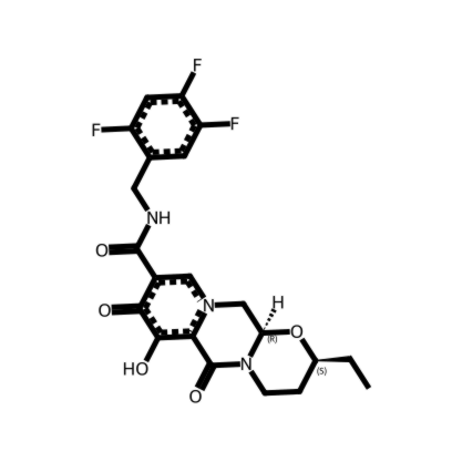 CC[C@H]1CCN2C(=O)c3c(O)c(=O)c(C(=O)NCc4cc(F)c(F)cc4F)cn3C[C@H]2O1